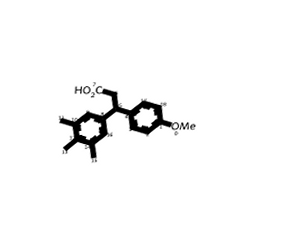 COc1ccc(C(CC(=O)O)c2cc(C)c(C)c(C)c2)cc1